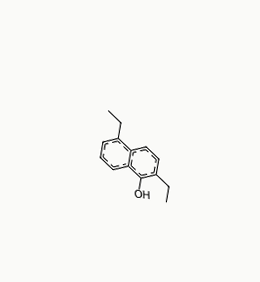 CCc1ccc2c(CC)cccc2c1O